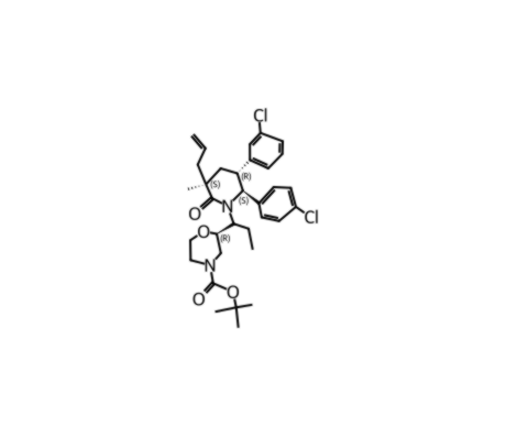 C=CC[C@@]1(C)C[C@H](c2cccc(Cl)c2)[C@@H](c2ccc(Cl)cc2)N(C(CC)[C@H]2CN(C(=O)OC(C)(C)C)CCO2)C1=O